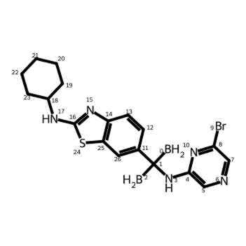 BC(B)(Nc1cncc(Br)n1)c1ccc2nc(NC3CCCCC3)sc2c1